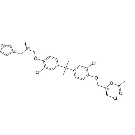 CC(=O)O[C@@H](CCl)COc1ccc(C(C)(C)c2ccc(OC[C@H](C)Cn3ccnc3)c(Cl)c2)cc1Cl